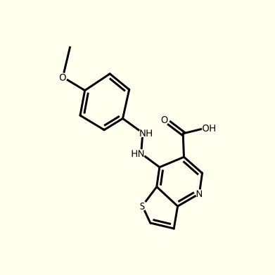 COc1ccc(NNc2c(C(=O)O)cnc3ccsc23)cc1